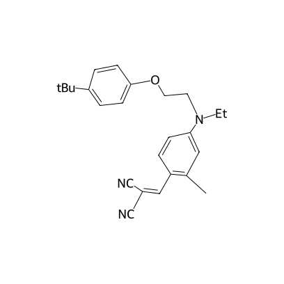 CCN(CCOc1ccc(C(C)(C)C)cc1)c1ccc(C=C(C#N)C#N)c(C)c1